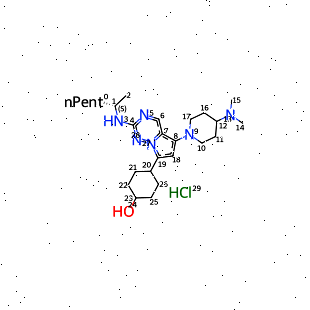 CCCCC[C@H](C)Nc1ncc2c(N3CCC(N(C)C)CC3)cc(C3CCC(O)CC3)n2n1.Cl